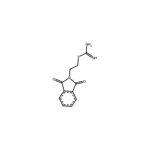 N=C(N)SCCN1C(=O)c2ccccc2C1=O